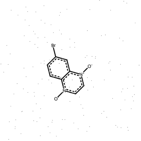 [O-][n+]1cc[n+]([O-])c2cc(Br)ccc21